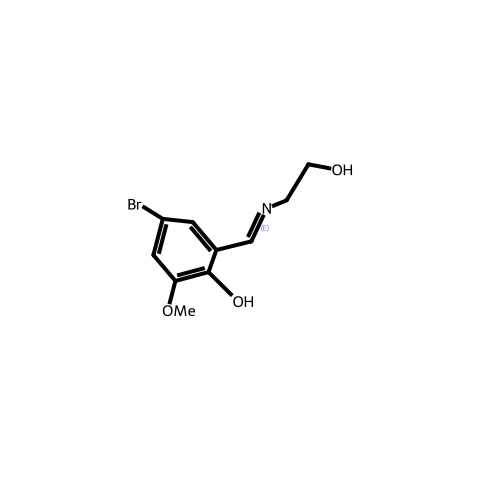 COc1cc(Br)cc(/C=N/CCO)c1O